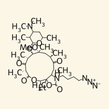 CC[C@H]1OC(=O)[C@H](C)C(=O)[C@H](C)[C@@H](O[C@@H]2OC(C)CC(N(C)C)C2C)[C@](C)(OC)C[C@@H](C)C(=O)[C@H](C)[C@H]2N(CCCCN=[N+]=[N-])C(=O)O[C@]12C